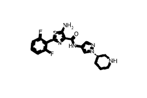 Nc1sc(-c2c(F)cccc2F)nc1C(=O)Nc1cnn([C@H]2CCCNC2)c1